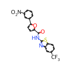 O=C(Nc1nc2cc(C(F)(F)F)ccc2s1)c1ccc(-c2cccc([N+](=O)[O-])c2)o1